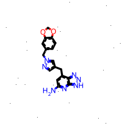 Nc1cc(Cc2cnn(Cc3ccc4c(c3)OCO4)c2)c2nn[nH]c2n1